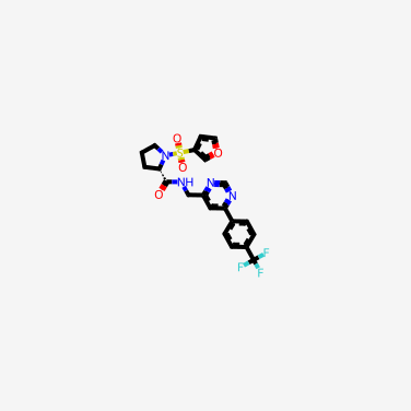 O=C(NCc1cc(-c2ccc(C(F)(F)F)cc2)ncn1)[C@@H]1CCCN1S(=O)(=O)c1ccoc1